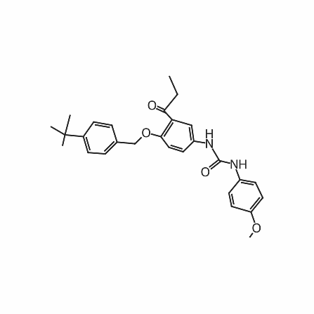 CCC(=O)c1cc(NC(=O)Nc2ccc(OC)cc2)ccc1OCc1ccc(C(C)(C)C)cc1